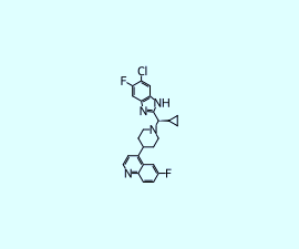 Fc1ccc2nccc(C3CCN([C@@H](c4nc5cc(F)c(Cl)cc5[nH]4)C4CC4)CC3)c2c1